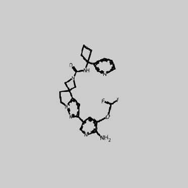 Nc1ncc(-c2cc3n(n2)CCC32CN(C(=O)NC3(c4cccnc4)CCC3)C2)cc1OC(F)F